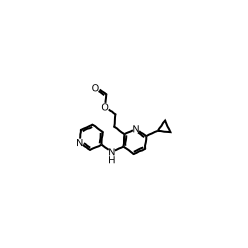 O=COCCc1nc(C2CC2)ccc1Nc1cccnc1